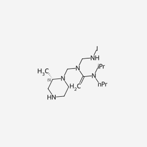 C=C(N(CNI)CN1CCNC[C@@H]1C)N(CCC)C(C)C